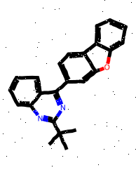 CC(C)(C)c1nc(-c2ccc3c(c2)oc2ccccc23)c2ccccc2n1